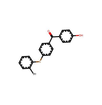 CC(C)c1ccccc1Sc1ccc(C(=O)c2ccc(O)cc2)cc1